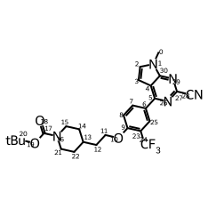 Cn1ccc2c(-c3ccc(OCCC4CCN(C(=O)OC(C)(C)C)CC4)c(C(F)(F)F)c3)nc(C#N)nc21